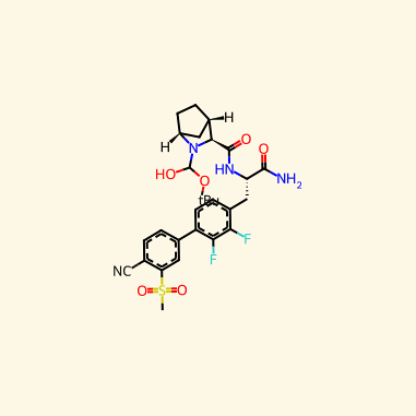 CC(C)(C)OC(O)N1[C@@H]2CC[C@@H](C2)[C@H]1C(=O)N[C@@H](Cc1ccc(-c2ccc(C#N)c(S(C)(=O)=O)c2)c(F)c1F)C(N)=O